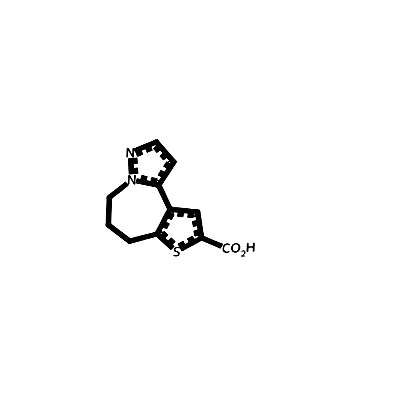 O=C(O)c1cc2c(s1)CCCn1nccc1-2